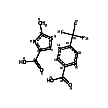 Cc1nc(C(=O)O)cs1.O=C(O)c1cnc(C(F)(F)F)cn1